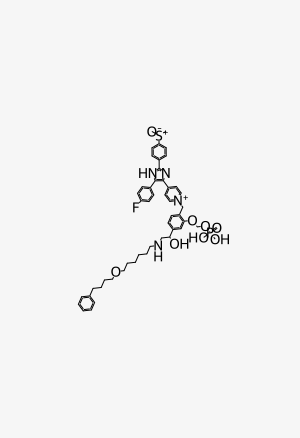 C[S+]([O-])c1ccc(-c2nc(-c3cc[n+](Cc4ccc(C(O)CNCCCCCCOCCCCc5ccccc5)cc4OCOP(=O)(O)O)cc3)c(-c3ccc(F)cc3)[nH]2)cc1